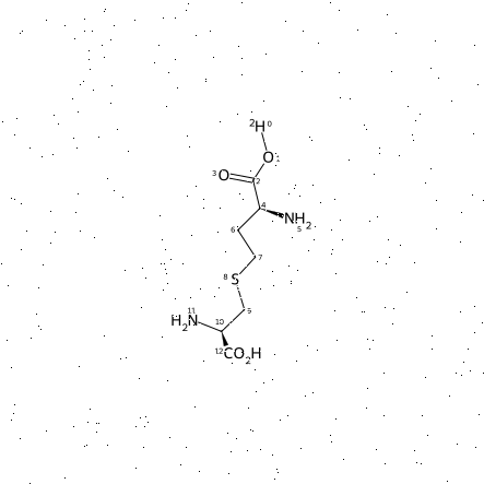 [2H]OC(=O)[C@@H](N)CCSC[C@H](N)C(=O)O